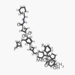 COC(=O)N[C@H]1CCC[C@@H]1[C@](CN1CCC(C)(O)CC1)(c1cccc(F)c1)C1CCN(CC2CN(c3ccc(S(=O)(=O)C4CN(C(=O)/C=C/CN5CCCCC5)C4)c(CN4CC(F)C4)c3)C2)CC1